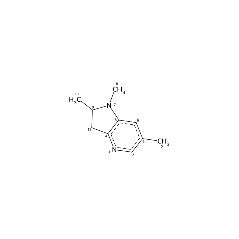 Cc1cnc2c(c1)N(C)C(C)C2